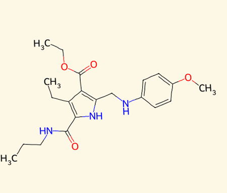 CCCNC(=O)c1[nH]c(CNc2ccc(OC)cc2)c(C(=O)OCC)c1CC